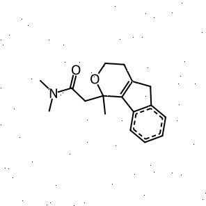 CN(C)C(=O)CC1(C)OCCC2=C1c1ccccc1C2